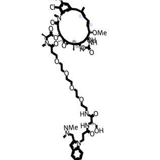 CNN(C)Cc1cc2ccccc2n1CCC(=O)N[C@@H](CO)C(=O)NCCOCCOCCOCCOCCC(=O)N(C)[C@@H](C)C(=O)O[C@H]1CC(=O)N(C)c2cc(cc(OC)c2Cl)C/C(C)=C/C=C/[C@@H](OC)[C@@]2(O)C[C@H](OC(=O)N2)[C@@H](C)C2O[C@]21C